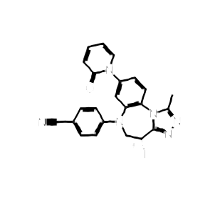 Cc1nnc2n1-c1ccc(-n3ccccc3=O)cc1N(c1ccc(C#N)cc1)C[C@H]2I